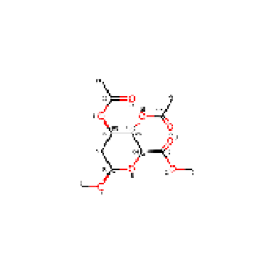 COC(=O)[C@H]1O[C@@H](OC)C[C@@H](OC(C)=O)[C@@H]1OC(C)=O